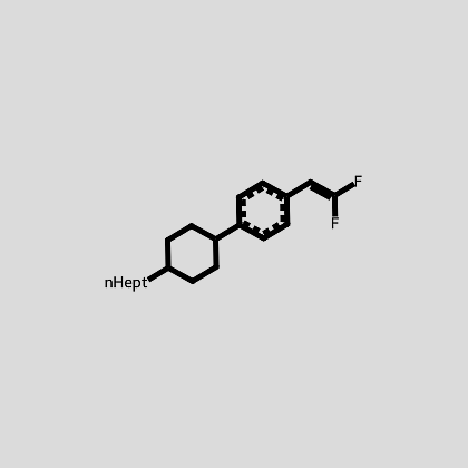 CCCCCCCC1CCC(c2ccc(C=C(F)F)cc2)CC1